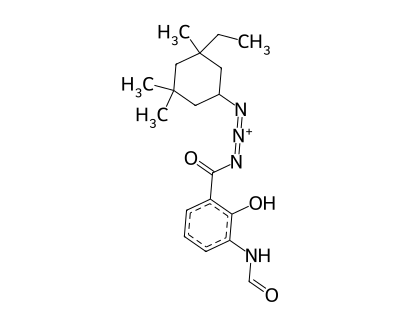 CCC1(C)CC(N=[N+]=NC(=O)c2cccc(NC=O)c2O)CC(C)(C)C1